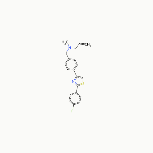 C=CCN(C)Cc1ccc(-c2csc(-c3ccc(F)cc3)n2)cc1